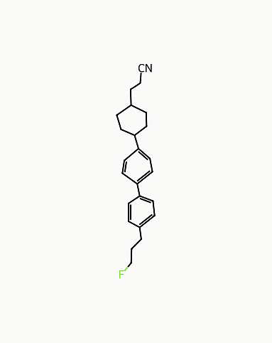 N#CCCC1CCC(c2ccc(-c3ccc(CCCF)cc3)cc2)CC1